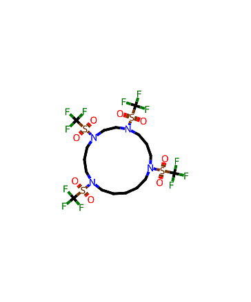 O=S(=O)(N1CCCCCN(S(=O)(=O)C(F)(F)F)CCCN(S(=O)(=O)C(F)(F)F)CCN(S(=O)(=O)C(F)(F)F)CCC1)C(F)(F)F